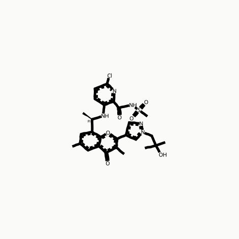 Cc1cc([C@@H](C)Nc2ccc(Cl)nc2C(=O)NS(C)(=O)=O)c2oc(-c3cnn(CC(C)(C)O)c3)c(C)c(=O)c2c1